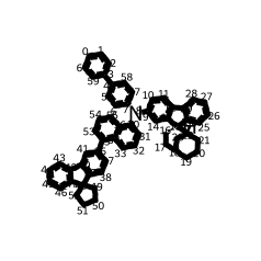 c1ccc(-c2ccc(N(c3ccc4c(c3)[C@@]3(CCC5CCC[C@@H]3C5)c3ccccc3-4)c3cccc4c(-c5ccc6c(c5)-c5ccccc5C65CCCC5)cccc34)cc2)cc1